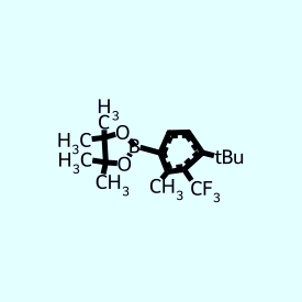 Cc1c(B2OC(C)(C)C(C)(C)O2)ccc(C(C)(C)C)c1C(F)(F)F